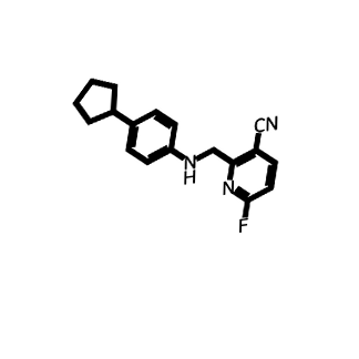 N#Cc1ccc(F)nc1CNc1ccc(C2CCCC2)cc1